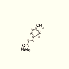 CNOCCCc1ccc(C)nc1